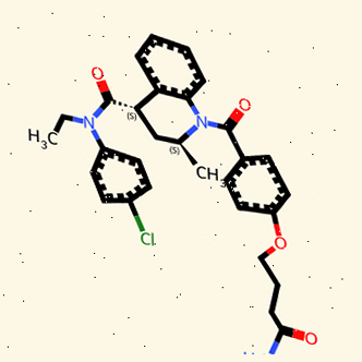 CCN(C(=O)[C@H]1C[C@H](C)N(C(=O)c2ccc(OCCCC(N)=O)cc2)c2ccccc21)c1ccc(Cl)cc1